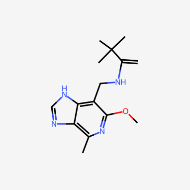 C=C(NCc1c(OC)nc(C)c2nc[nH]c12)C(C)(C)C